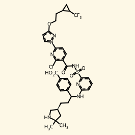 CC1(C)C[C@H](CCC(Nc2cccc(S(=O)(=O)NC(=O)c3ccc(-n4ccc(OCCC5CC5C(F)(F)F)n4)nc3Cl)n2)c2ccc(C(=O)O)cc2)CN1